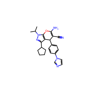 CC(C)n1nc(C2CCCC2)c2c1OC(N)=C(C#N)C2c1ccc(-n2ccnc2)cc1